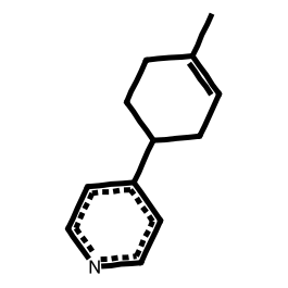 CC1=CCC(c2ccncc2)CC1